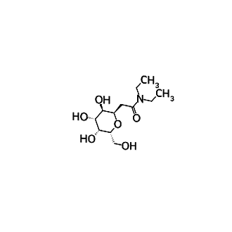 CCN(CC)C(=O)C[C@H]1O[C@H](CO)[C@H](O)[C@H](O)[C@H]1O